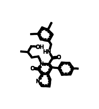 Cc1ccc(-c2c(C(=O)NCc3cc(C)cc(C)c3)n(CCC(C)CO)c(=O)c3ncccc23)cc1